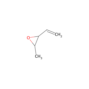 C=CC1OC1C